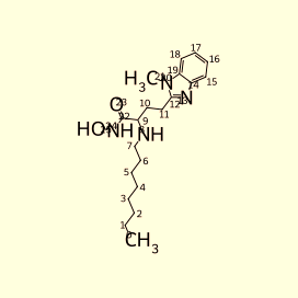 CCCCCCCCNC(CCc1nc2ccccc2n1C)C(=O)NO